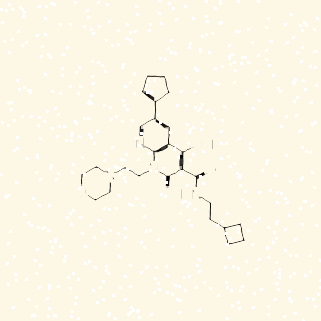 O=C(NCCC1CCC1)c1c(O)c2cc(C3=CCCC3)cnc2n(CCN2CCOCC2)c1=O